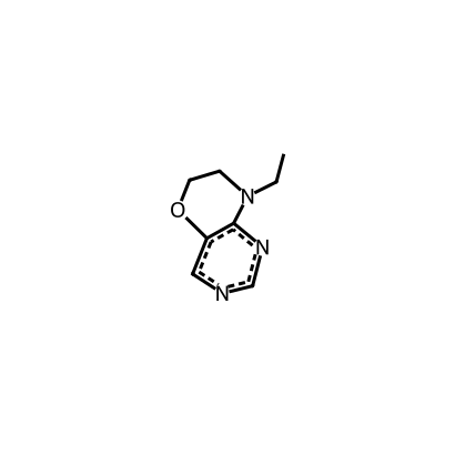 CCN1CCOc2cncnc21